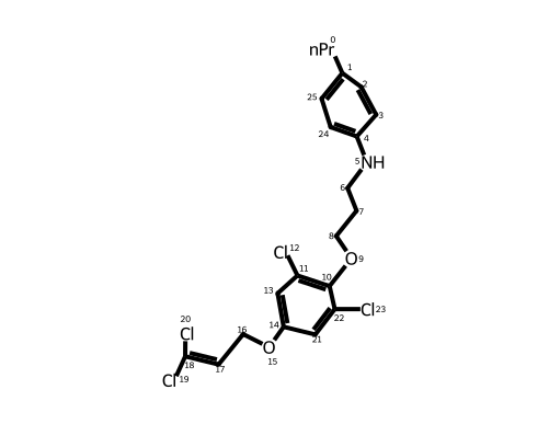 CCCc1ccc(NCCCOc2c(Cl)cc(OCC=C(Cl)Cl)cc2Cl)cc1